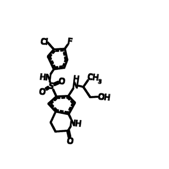 CC(CO)Nc1cc2c(cc1S(=O)(=O)Nc1ccc(F)c(Cl)c1)CCC(=O)N2